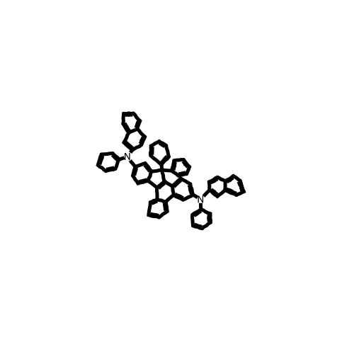 c1ccc(N(c2ccc3c(c2)C(c2ccccc2)(c2ccccc2)c2c-3c3ccccc3c3cc(N(c4ccccc4)c4ccc5ccccc5c4)ccc23)c2ccc3ccccc3c2)cc1